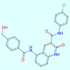 O=C(Nc1cccc2[nH]c(=O)c(C(=O)Nc3ccc(Cl)cc3)cc12)c1ccc(CO)cc1